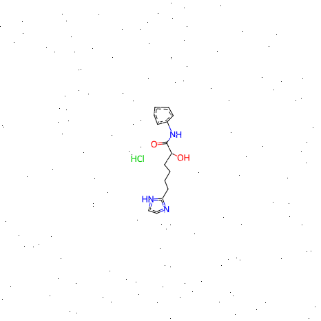 Cl.O=C(Nc1ccccc1)C(O)CCCCc1ncc[nH]1